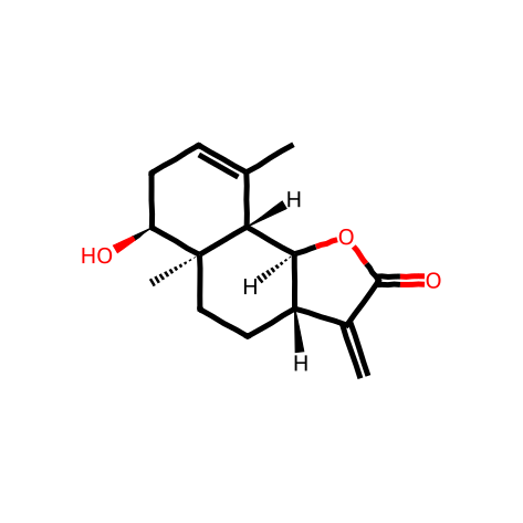 C=C1C(=O)O[C@@H]2[C@H]3C(C)=CC[C@H](O)[C@]3(C)CC[C@@H]12